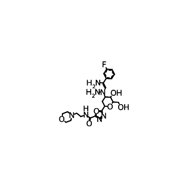 N/C(=C\N(N)C1CC(c2nnc(C(=O)NCCN3CCOCC3)o2)OC(CO)C1O)c1cccc(F)c1